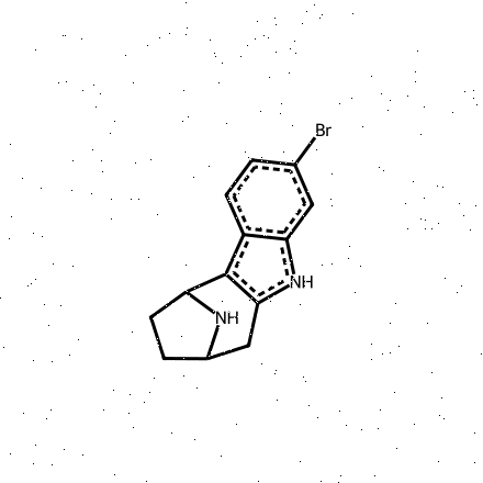 Brc1ccc2c3c([nH]c2c1)CC1CCC3N1